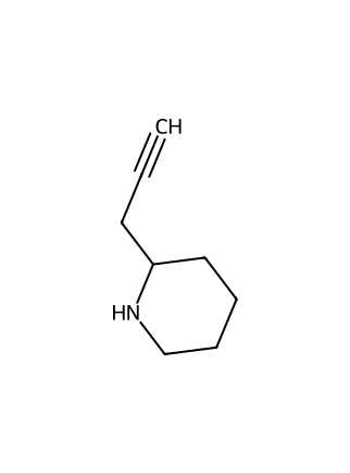 C#CCC1CCCCN1